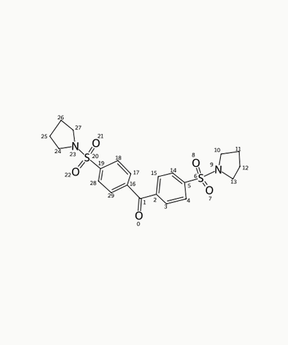 O=C(c1ccc(S(=O)(=O)N2CCCC2)cc1)c1ccc(S(=O)(=O)N2CCCC2)cc1